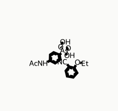 CC(=O)Nc1ccc([As](=O)(O)OO)cc1.CCOc1ccccc1C#N